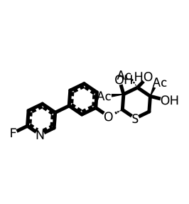 CC(=O)[C@]1(O)[C@@](O)(C(C)=O)CS[C@H](Oc2cccc(-c3ccc(F)nc3)c2)[C@@]1(O)C(C)=O